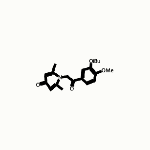 COc1ccc(C(=O)Cn2c(C)cc(=O)cc2C)cc1OCC(C)C